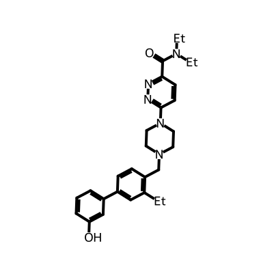 CCc1cc(-c2cccc(O)c2)ccc1CN1CCN(c2ccc(C(=O)N(CC)CC)nn2)CC1